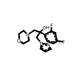 OC(CN1CCOCC1)(Cn1cccn1)c1ccc(F)cc1F